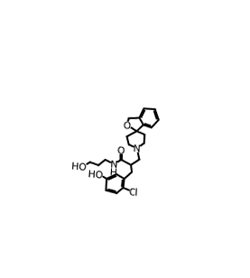 O=C(NCCCO)C(Cc1cc(O)ccc1Cl)CN1CCC2(CC1)OCc1ccccc12